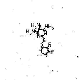 Nc1nc(SCc2cccc(F)c2F)nc(N)c1N